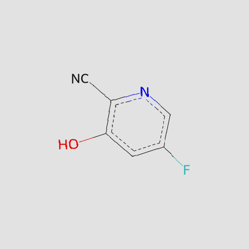 N#Cc1ncc(F)cc1O